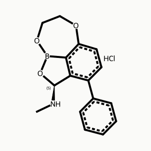 CN[C@H]1OB2OCCOc3ccc(-c4ccccc4)c1c32.Cl